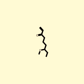 C=CC(=O)CCCC(CC)OC